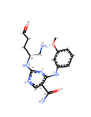 COc1cccc(Nc2nc(N[C@@H](CN)CCC=O)ncc2C(N)=O)c1